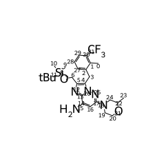 Cc1c(Cc2c(CO[Si](C)(C)C(C)(C)C)nc3c(N)cc(N4CCOC(C)C4)nn23)cccc1C(F)(F)F